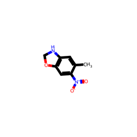 Cc1cc2c(cc1[N+](=O)[O-])OCN2